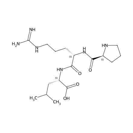 CC(C)C[C@H](NC(=O)[C@H](CCCNC(=N)N)NC(=O)[C@@H]1CCCN1)C(=O)O